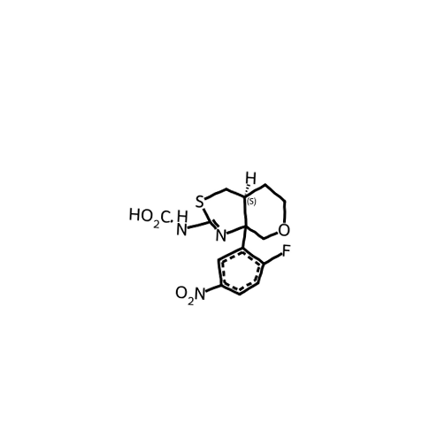 O=C(O)NC1=NC2(c3cc([N+](=O)[O-])ccc3F)COCC[C@@H]2CS1